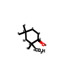 CC1(C)CCC(=O)C(C)(C(=O)O)C1